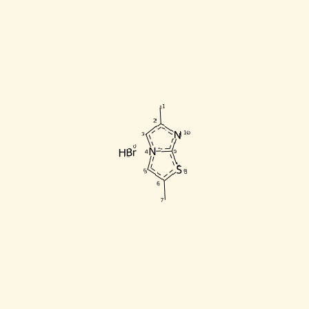 Br.Cc1cn2cc(C)sc2n1